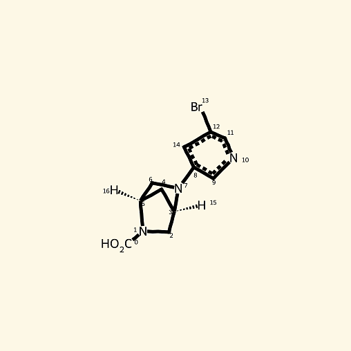 O=C(O)N1C[C@H]2C[C@@H]1CN2c1cncc(Br)c1